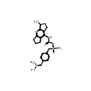 CC1CCc2c1nc1c(c2NC(=O)N=S(N)(=O)Cc2ccc(CN(C)C)cc2)CCC1